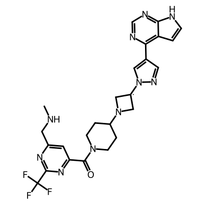 CNCc1cc(C(=O)N2CCC(N3C[C](n4cc(-c5ncnc6[nH]ccc56)cn4)C3)CC2)nc(C(F)(F)F)n1